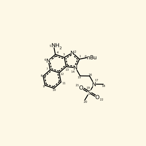 CCCCc1nc2c(N)nc3ccccc3c2n1CCN(C)S(C)(=O)=O